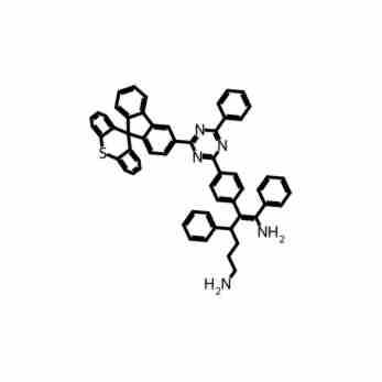 NCCCC(/C(=C(\N)c1ccccc1)c1ccc(-c2nc(-c3ccccc3)nc(-c3ccc4c(c3)-c3ccccc3C43c4ccccc4Sc4ccccc43)n2)cc1)c1ccccc1